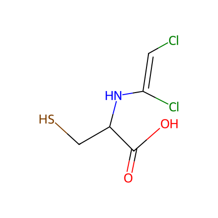 O=C(O)C(CS)NC(Cl)=CCl